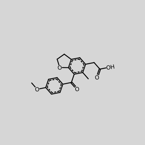 COc1ccc(C(=O)c2c(C)c(CC(=O)O)cc3c2OCC3)cc1